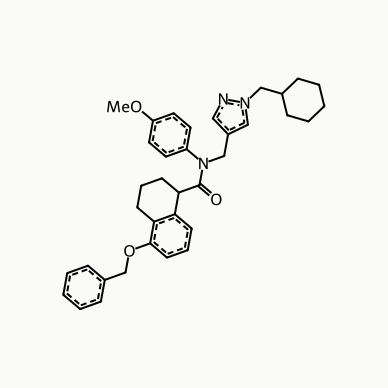 COc1ccc(N(Cc2cnn(CC3CCCCC3)c2)C(=O)C2CCCc3c(OCc4ccccc4)cccc32)cc1